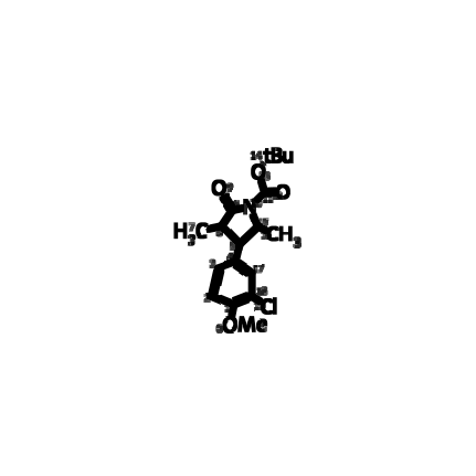 COc1ccc(C2C(C)C(=O)N(C(=O)OC(C)(C)C)C2C)cc1Cl